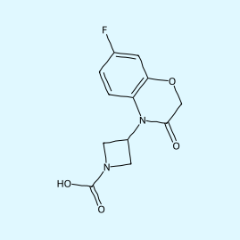 O=C(O)N1CC(N2C(=O)COc3cc(F)ccc32)C1